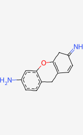 N=C1C=CC2=C(C1)Oc1cc(N)ccc1C2